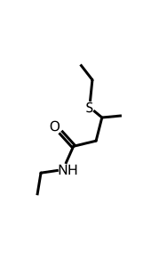 CCNC(=O)CC(C)SCC